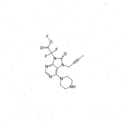 CC#CCn1c(=O)n(C(F)(F)C(=O)OF)c2ncnc(N3CCNCC3)c21